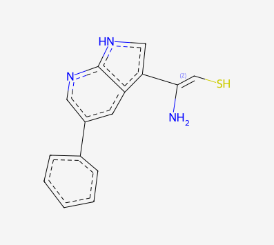 N/C(=C\S)c1c[nH]c2ncc(-c3ccccc3)cc12